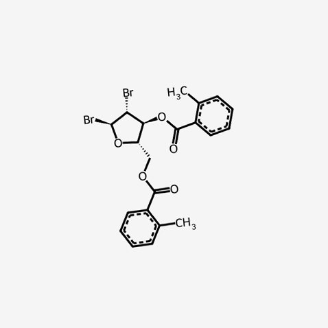 Cc1ccccc1C(=O)OC[C@@H]1O[C@@H](Br)[C@H](Br)[C@H]1OC(=O)c1ccccc1C